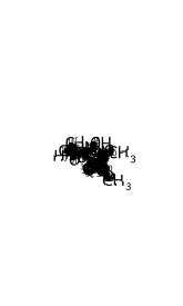 COc1ccc(C(OC[C@H]2O[C@@H](n3cc(C)c(=O)[nH]c3=O)C[C@@]2(O)NP(O)O)(c2ccccc2)c2ccc(OC)cc2)cc1